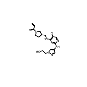 C=CC(=O)N1CC[C@H](CNc2nc(Nc3cnn(CCO)c3)ncc2Cl)C1